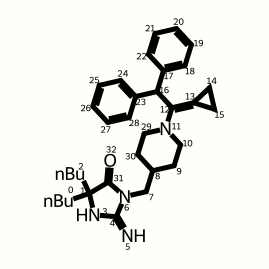 CCCCC1(CCCC)NC(=N)N(CC2CCN(C(=C3CC3)C(c3ccccc3)c3ccccc3)CC2)C1=O